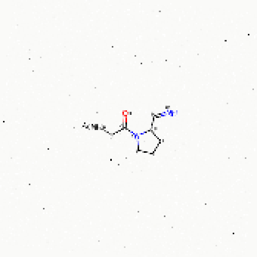 CC(=O)NCC(=O)N1CCCC1C=N